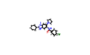 O=C(Nc1cc2nc(C3CCCCC3)[nH]c2cc1N1CCCC1)c1ccc(Br)cc1